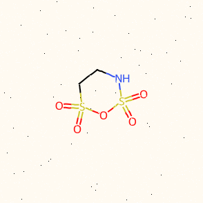 O=S1(=O)CCNS(=O)(=O)O1